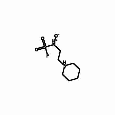 O=S(=O)(F)[NH+]([O-])CC[SH]1CCCCC1